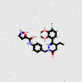 CCC1CC(=O)N(Cc2ccc(NC(=O)c3ccno3)cc2)N=C1c1ccc(F)c(OC)c1OC